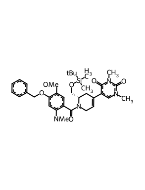 CNc1cc(OCc2ccccc2)c(OC)cc1C(=O)N1CC=C(c2cn(C)c(=O)n(C)c2=O)C[C@H]1CO[Si](C)(C)C(C)(C)C